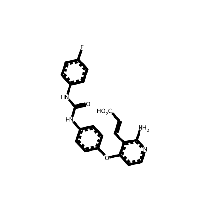 Nc1nccc(Oc2ccc(NC(=O)Nc3ccc(F)cc3)cc2)c1C=CC(=O)O